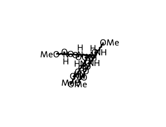 COCCCCCCNC(=O)CC(CCCCNC(=O)COCCOCCNC(=O)CCCCOC)NC(=O)CC(CCCCNC(=O)COCCOCCNC(=O)CCCCOC)NC(=O)CCCNC(=O)COCCOCCNC(=O)CCCCOC